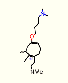 CNCC/C1=C(\C)C(C)CC(OCCCCN(C)C)=CCC1